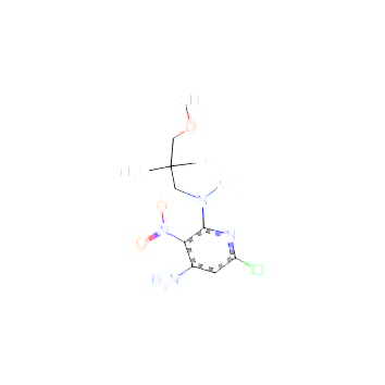 COCC(C)(C)CN(C)c1nc(Cl)cc(N)c1[N+](=O)[O-]